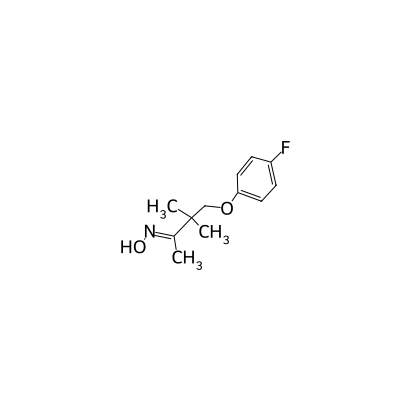 CC(=NO)C(C)(C)COc1ccc(F)cc1